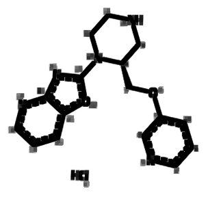 Cl.c1cncc(OC[C@@H]2CNCCN2c2nc3ncccc3o2)c1